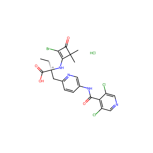 CC[C@@](Cc1ccc(NC(=O)c2c(Cl)cncc2Cl)cn1)(NC1=C(Br)C(=O)C1(C)C)C(=O)O.Cl